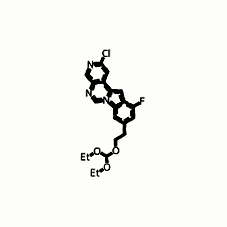 CCOC(OCC)OCCc1cc(F)c2cc3c4cc(Cl)ncc4ncn3c2c1